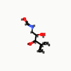 C=C(C)C(=O)C(O)CN=C=O